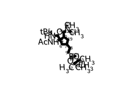 CC(=O)NC1(C(=O)NC(C)(C)C)CC(CCB2OC(C)(C)C(C)(C)O2)CC1CN(C)C